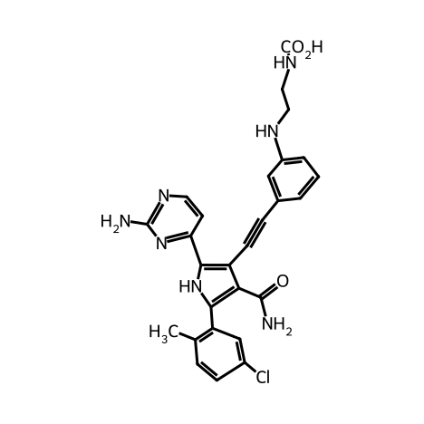 Cc1ccc(Cl)cc1-c1[nH]c(-c2ccnc(N)n2)c(C#Cc2cccc(NCCNC(=O)O)c2)c1C(N)=O